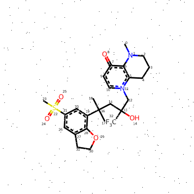 CN1CCCc2c1c(=O)ccn2CC(O)(CC(C)(C)c1cc(S(C)(=O)=O)cc2c1OCC2)C(F)(F)F